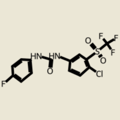 O=C(Nc1ccc(F)cc1)Nc1ccc(Cl)c(S(=O)(=O)C(F)(F)F)c1